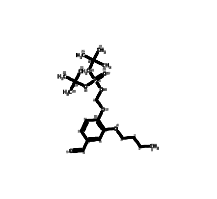 CCCCOc1cc(C=O)ccc1OCOP(=O)(OC(C)(C)C)OC(C)(C)C